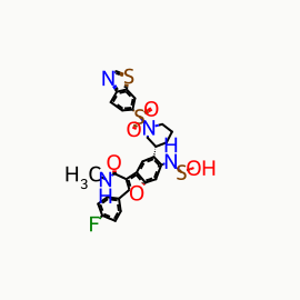 CNC(=O)c1c(-c2ccc(F)cc2)oc2cc(NSO)c([C@H]3CCCN(S(=O)(=O)c4ccc5ncsc5c4)C3)cc12